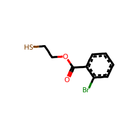 O=C(OCCS)c1ccccc1Br